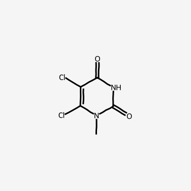 Cn1c(Cl)c(Cl)c(=O)[nH]c1=O